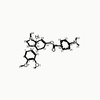 COC1=C(OC)CCC([C@@]23CCC(OC(=O)c4ccc(N(C)C)cc4)=C[C@@H]2N(C)CC3)=C1